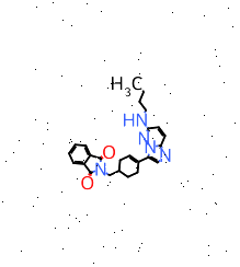 CCCCNc1ccc2ncc(C3=CCC(CN4C(=O)c5ccccc5C4=O)CC3)n2n1